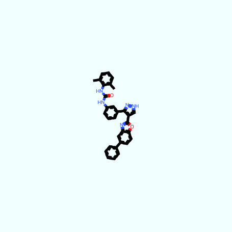 Cc1cccc(C)c1NC(=O)Nc1cccc(-c2n[nH]cc2-c2nc3cc(-c4ccccc4)ccc3o2)c1